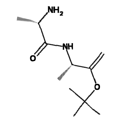 C=C(OC(C)(C)C)[C@H](C)NC(=O)[C@H](C)N